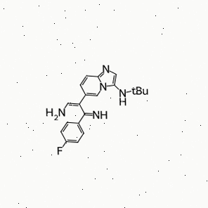 CC(C)(C)Nc1cnc2ccc(/C(=C/N)C(=N)c3ccc(F)cc3)cn12